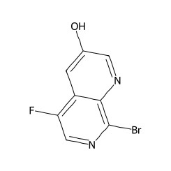 Oc1cnc2c(Br)ncc(F)c2c1